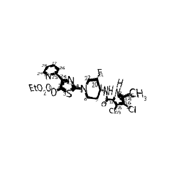 CCOC(=O)Oc1sc(N2CC[C@@H](NC(=O)c3[nH]c(C)c(Cl)c3Cl)[C@@H](F)C2)nc1-c1ccccn1